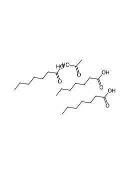 CC(=O)O.CCCCCCC(=O)O.CCCCCCC(=O)O.CCCCCCC(=O)O